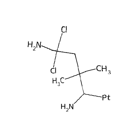 CC(C)(CC(N)(Cl)Cl)[CH](N)[Pt]